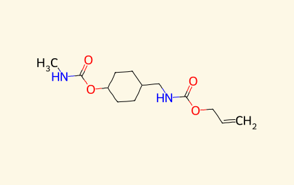 C=CCOC(=O)NCC1CCC(OC(=O)NC)CC1